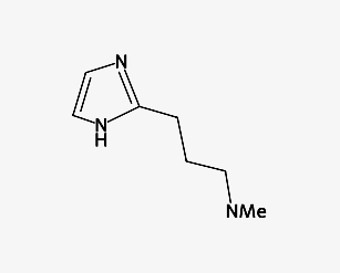 CNCCCc1ncc[nH]1